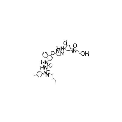 CCCCc1cc(NC(=O)Nc2ccc(Oc3ccnc(Nc4ccc(C(=O)NCCO)cc4OC)n3)c3ccccc23)n(-c2ccc(C)cc2)n1